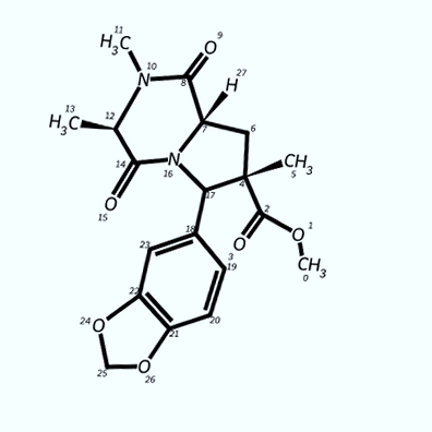 COC(=O)[C@@]1(C)C[C@H]2C(=O)N(C)[C@H](C)C(=O)N2C1c1ccc2c(c1)OCO2